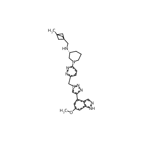 COc1cc(-c2cn(Cc3ccc(N4CCC[C@@H](NCC56CC(C)(C5)C6)C4)nn3)nn2)c2cn[nH]c2c1